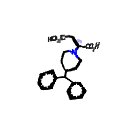 O=C(O)/C=C(/C(=O)O)N1CC=C(C(c2ccccc2)c2ccccc2)CC1